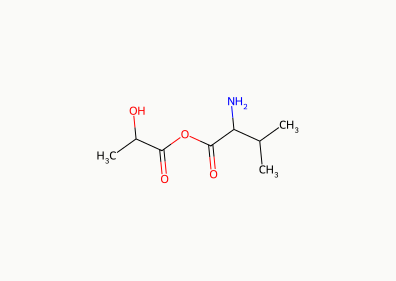 CC(O)C(=O)OC(=O)C(N)C(C)C